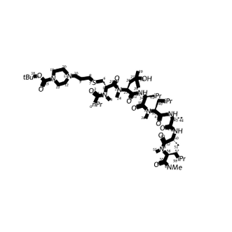 CCCC(=O)N(C)[C@H](CSCCCN1CCN(C(=O)OC(C)(C)C)CC1)C(=O)N(C)[C@@H](CC(C)(C)O)C(=O)N[C@H](C(=O)N(C)[C@@H](CC(C)C)C(=O)N[C@H](C)C(=O)N[C@H](C)C(=O)N(C)[C@@H](CC(C)C)C(=O)NC)C(C)C